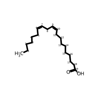 CCCCCC/C=C\C/C=C\CCCCCCCCC(=O)O